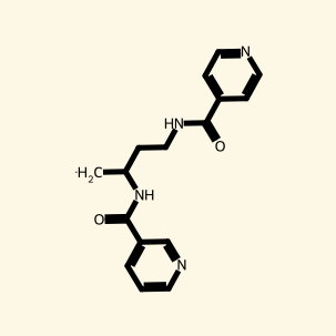 [CH2]C(CCNC(=O)c1ccncc1)NC(=O)c1cccnc1